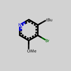 COc1cncc(C(C)(C)C)c1Br